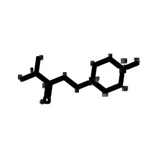 CC(C)C(=O)CCN1CCN(C)CC1